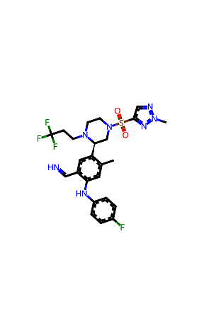 Cc1cc(Nc2ccc(F)cc2)c(C=N)cc1[C@@H]1CN(S(=O)(=O)c2cnn(C)n2)CCN1CCC(F)(F)F